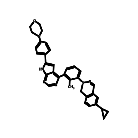 Cc1c(-c2ncnc3[nH]c(-c4ccc(N5CCOCC5)cc4)cc23)cccc1N1Cc2ccc(C3CC3)cc2C=N1